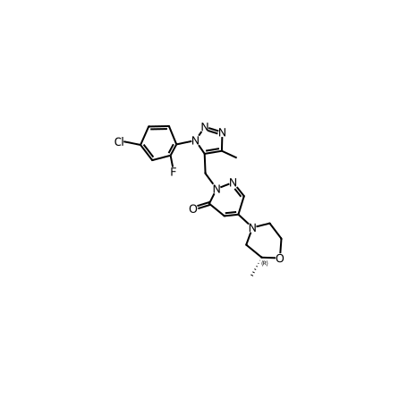 Cc1nnn(-c2ccc(Cl)cc2F)c1Cn1ncc(N2CCO[C@H](C)C2)cc1=O